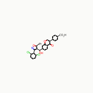 CC(C)c1onc(-c2c(Cl)cccc2Cl)c1C(O)c1ccc2c(=O)c(-c3ccc(C(=O)O)cc3)coc2c1